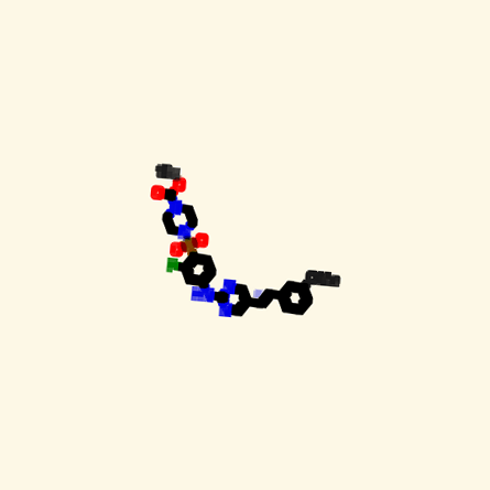 COc1cccc(/C=C/c2cnc(Nc3ccc(S(=O)(=O)N4CCN(C(=O)OC(C)(C)C)CC4)c(F)c3)nc2)c1